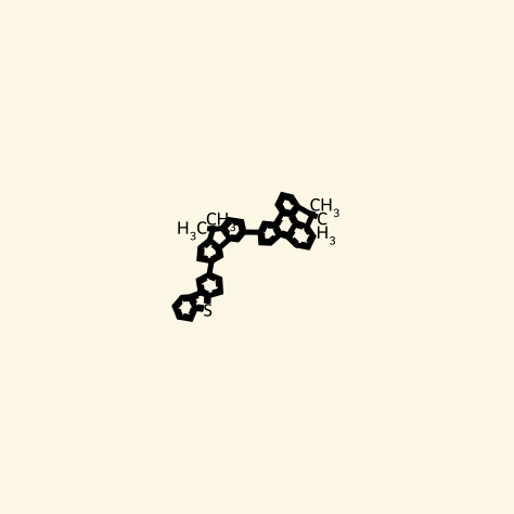 CC1(C)c2ccc(-c3ccc4sc5ccccc5c4c3)cc2-c2cc(-c3ccc4c(c3)c3cccc5c3c3c(cccc43)C5(C)C)ccc21